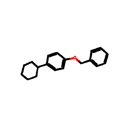 c1ccc(COc2ccc(C3CCCCC3)cc2)cc1